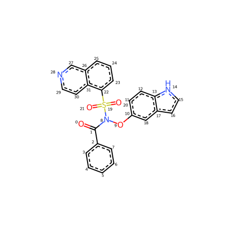 O=C(c1ccccc1)N(Oc1ccc2[nH]ccc2c1)S(=O)(=O)c1cccc2cnccc12